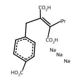 CC(C)C(C(=O)O)=C(Cc1ccc(C(=O)O)cc1)C(=O)O.[Na].[Na].[Na]